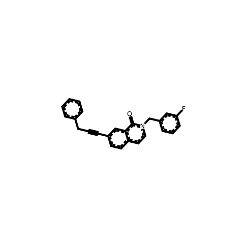 O=c1c2cc(C#CCc3ccccc3)ccc2ccn1Cc1cccc(F)c1